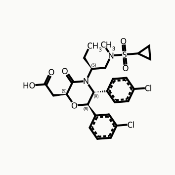 CC[C@@H](CN(C)S(=O)(=O)C1CC1)N1C(=O)[C@H](CC(=O)O)O[C@H](c2cccc(Cl)c2)[C@H]1c1ccc(Cl)cc1